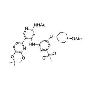 CO[C@H]1CC[C@H](Oc2cc(Nc3cc(NC(C)=O)ncc3-c3ccc4c(n3)OCC(C)(C)O4)nc(S(C)(=O)=O)c2)CC1